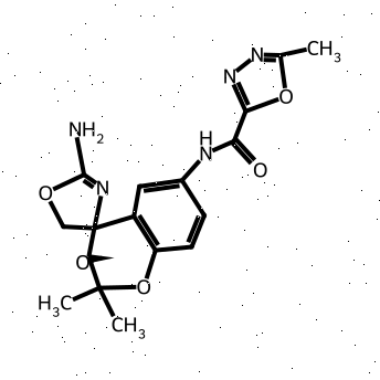 Cc1nnc(C(=O)Nc2ccc3c(c2)C2(COC(N)=N2)C2(COC2)C(C)(C)O3)o1